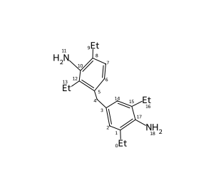 CCc1cc(Cc2ccc(CC)c(N)c2CC)cc(CC)c1N